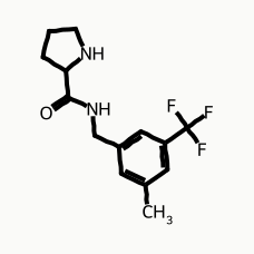 Cc1cc(CNC(=O)C2CCCN2)cc(C(F)(F)F)c1